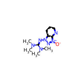 CN(C)C(=Nn1n[n+]([O-])c2ncccc21)N(C)C